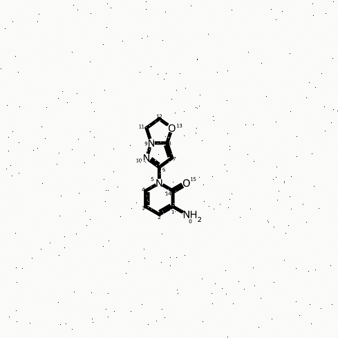 Nc1cccn(-c2cc3n(n2)CCO3)c1=O